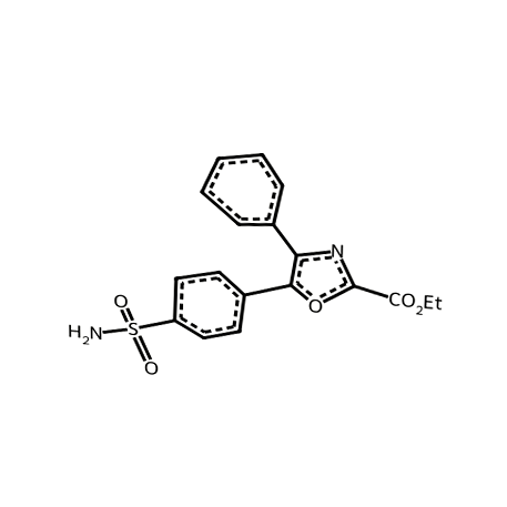 CCOC(=O)c1nc(-c2ccccc2)c(-c2ccc(S(N)(=O)=O)cc2)o1